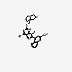 Oc1cc(-c2ncc3c(O)nc(OCC45CCCN4CC(F)C5)nc3c2F)c2ccccc2c1